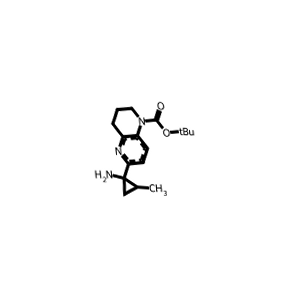 CC1CC1(N)c1ccc2c(n1)CCCN2C(=O)OC(C)(C)C